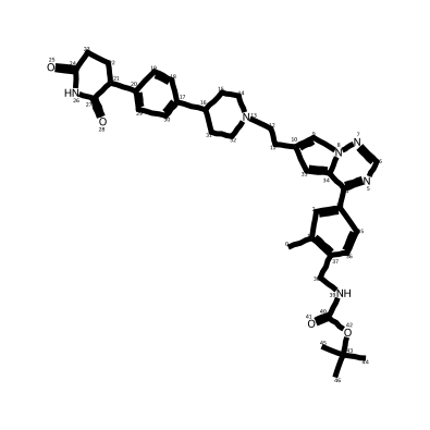 Cc1cc(-c2ncnn3cc(CCN4CCC(c5ccc(C6CCC(=O)NC6=O)cc5)CC4)cc23)ccc1CNC(=O)OC(C)(C)C